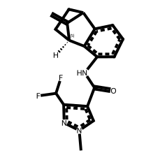 C=C1C2CC[C@@H]1c1c(NC(=O)c3cn(C)nc3C(F)F)cccc12